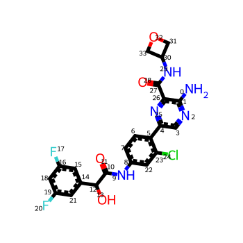 Nc1ncc(-c2ccc(NC(=O)C(O)c3cc(F)cc(F)c3)cc2Cl)nc1C(=O)NC1COC1